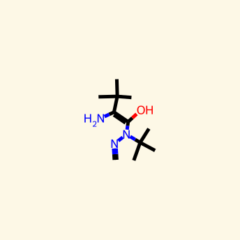 C=NN(/C(O)=C(\N)C(C)(C)C)C(C)(C)C